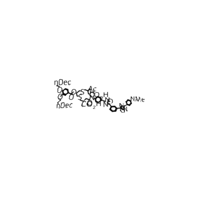 CCCCCCCCCCCCOc1ccc(C(=O)OC(CSCC(CC(=O)O)C(C)=O)CSCC(CC(=O)Nc2ccc(-c3noc(-c4cccc(-c5nc(-c6ccc(NC)cc6)no5)c4)n3)cc2)C(=O)O)cc1OCCCCCCCCCCCC